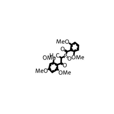 COc1cc(OC)c(C(=O)C(C)[P](=O)C(=O)c2c(OC)cccc2OC)c(OC)c1